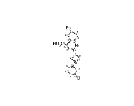 CCc1ccc2nc(-c3ccc(-c4cccc(Cl)c4)o3)cc(C(=O)O)c2c1